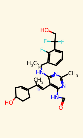 C/C(=C\c1c(NC=O)nc(C)nc1N[C@H](C)c1cccc(C(F)(F)CO)c1F)C1=CCC(O)CC1